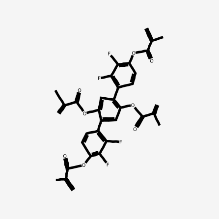 C=C(C)C(=O)Oc1cc(-c2ccc(OC(=O)C(=C)C)c(F)c2F)c(OC(=O)C(=C)C)cc1-c1ccc(OC(=O)C(=C)C)c(F)c1F